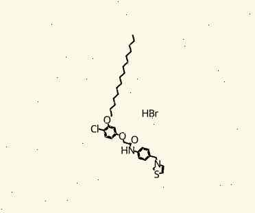 Br.CCCCCCCCCCCCCCCCOc1cc(OCC(=O)Nc2ccc(CN3C=CSC3)cc2)ccc1Cl